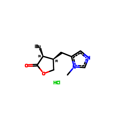 CCC(C)[C@@H]1C(=O)OC[C@@H]1Cc1cncn1C.Cl